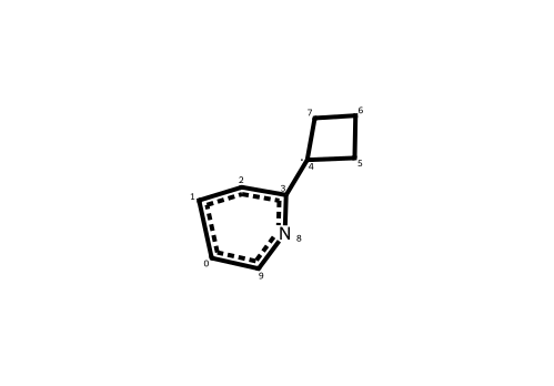 c1ccc([C]2CCC2)nc1